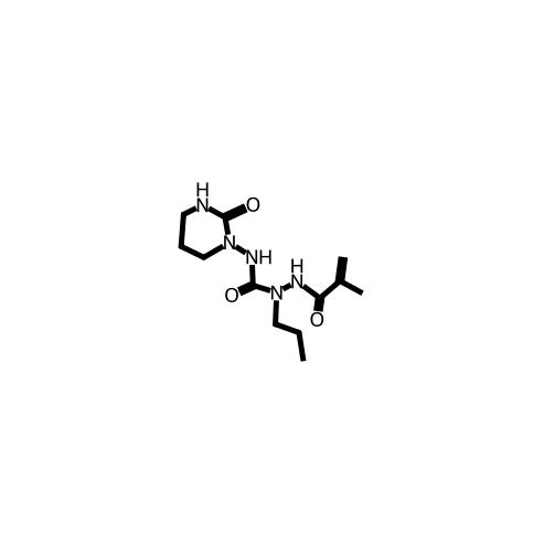 C=C(C)C(=O)NN(CCC)C(=O)NN1CCCNC1=O